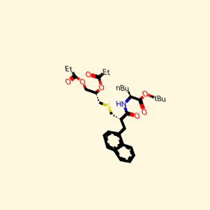 CCCC[C@H](NC(=O)[C@@H](CSC[C@H](COC(=O)CC)OC(=O)CC)Cc1cccc2ccccc12)C(=O)OC(C)(C)C